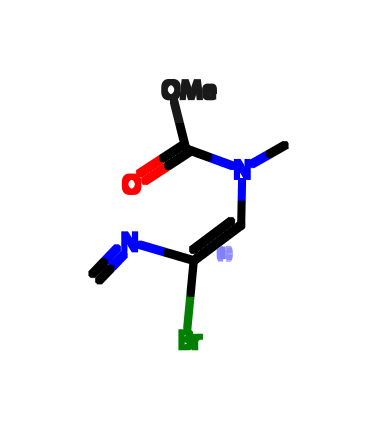 C=N/C(Br)=C\N(C)C(=O)OC